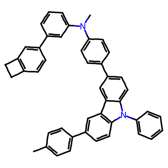 Cc1ccc(-c2ccc3c(c2)c2cc(-c4ccc(N(C)c5cccc(-c6ccc7c(c6)CC7)c5)cc4)ccc2n3-c2ccccc2)cc1